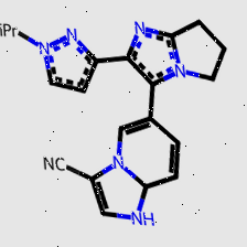 CC(C)n1ccc(-c2nc3n(c2C2=CN4C(C#N)=CNC4C=C2)CCC3)n1